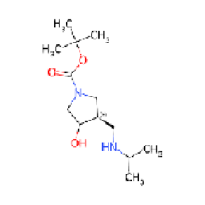 CC(C)NC[C@@H]1CN(C(=O)OC(C)(C)C)CC1O